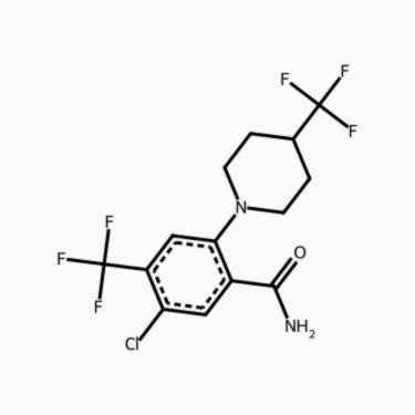 NC(=O)c1cc(Cl)c(C(F)(F)F)cc1N1CCC(C(F)(F)F)CC1